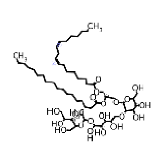 CCCCCC/C=C\C/C=C\CCCCCCC(=O)OC[C@H](CO[C@H]1OC(CO)[C@@H](O)C(O)C1OCC(O)C(O)[C@@H](O)C(O)OC(C)OC(CO)[C@H](O)C(O)CO)OC(=O)CCCCCCCCCCCCCCCCC